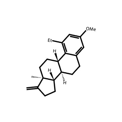 C=C1CC[C@H]2[C@@H]3CCc4cc(OC)cc(CC)c4[C@H]3CC[C@]12C